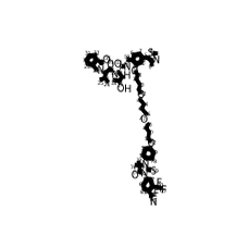 Cc1ncsc1-c1ccc(CNC(=O)[C@@H]2C[C@@H](O)CN2C(=O)C(C(C)C)N2Cc3ccccc3C2=O)c(OCCCCOCCCCOCCCCOc2ccc(N3C(=S)N(c4ccc(C#N)c(C(F)(F)F)c4)C(=O)C3(C)C)cc2)c1